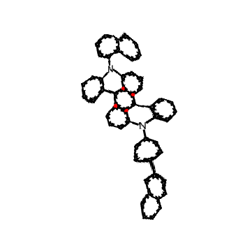 c1ccc(N(c2ccc(-c3ccc4ccccc4c3)cc2)c2ccccc2-c2ccc(-c3ccccc3N(c3ccccc3)c3cccc4ccccc34)cc2)cc1